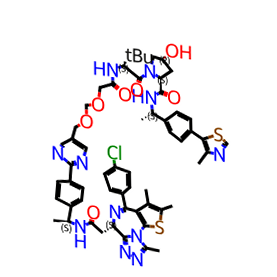 Cc1ncsc1-c1ccc([C@H](C)NC(=O)[C@@H]2C[C@@H](O)CN2C(=O)[C@@H](NC(=O)COCOCc2cnc(-c3ccc([C@H](C)NC(=O)C[C@@H]4N=C(c5ccc(Cl)cc5)c5c(sc(C)c5C)-n5c(C)nnc54)cc3)nc2)C(C)(C)C)cc1